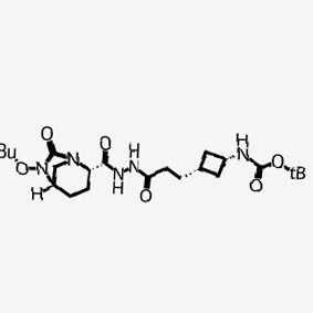 CCCCON1C(=O)N2C[C@@H]1CC[C@H]2C(=O)NNC(=O)CC[C@H]1C[C@@H](NC(=O)OC(C)(C)C)C1